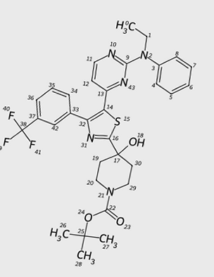 CCN(c1ccccc1)c1nccc(-c2sc(C3(O)CCN(C(=O)OC(C)(C)C)CC3)nc2-c2cccc(C(F)(F)F)c2)n1